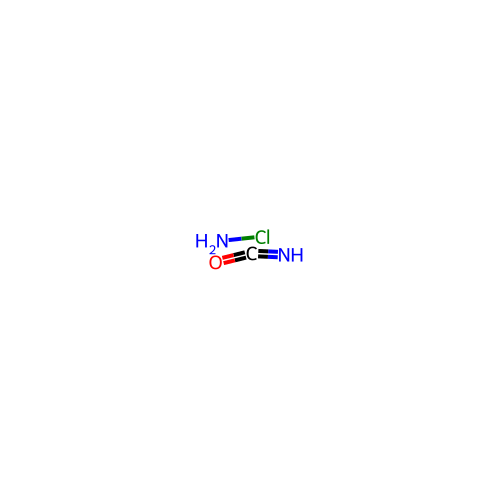 N=C=O.NCl